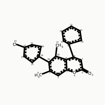 Cc1cc2oc(=O)cc(-c3ccccc3)c2c(C)c1-c1ccc(Cl)cc1